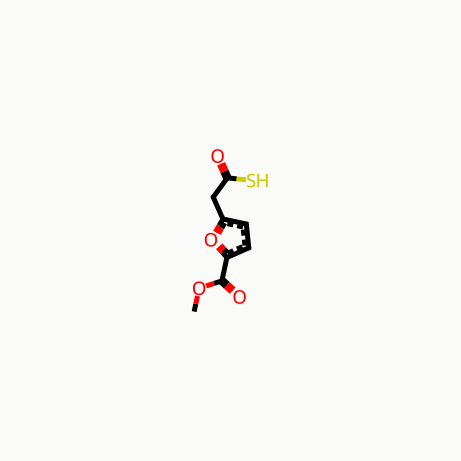 COC(=O)c1ccc(CC(=O)S)o1